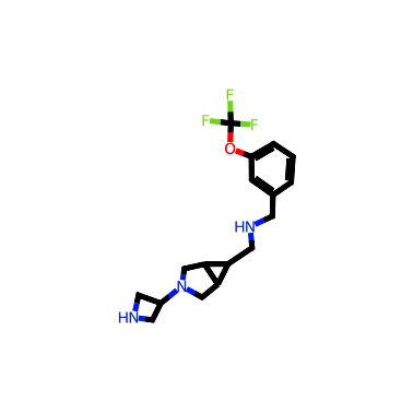 FC(F)(F)Oc1cccc(CNCC2C3CN(C4CNC4)CC23)c1